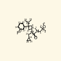 COC(C)(C)CN1C[C@]2(C[C@](c3cccc(F)c3)(N(C)C)C2)N(CC2CC2)C1=O